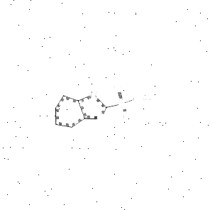 CC(=O)OS(=O)(=O)c1nc2ccccc2s1